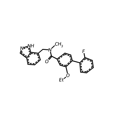 CCOc1cc(C(=O)N(C)Cc2cccc3cn[nH]c23)ccc1-c1ccccc1F